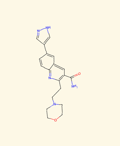 NC(=O)c1cc2cc(-c3cn[nH]c3)ccc2nc1CCN1CCOCC1